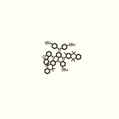 Cc1cc2c(cc1N1c3ccc(C(C)(C)C)cc3B3c4cc5c(cc4N(c4cccc6oc7ccccc7c46)c4cc(N(c6ccc(C(C)(C)C)cc6)c6ccc(C(C)(C)C)cc6)cc1c43)C(C)(C)c1ccccc1C5(C)C)C(C)(C)c1ccccc1C2(C)C